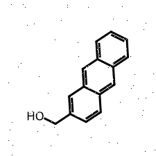 OCc1ccc2cc3ccccc3cc2c1